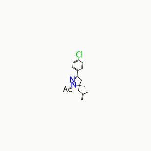 C=C(C)CC1(C)CC(c2ccc(Cl)cc2)=NN1C(C)=O